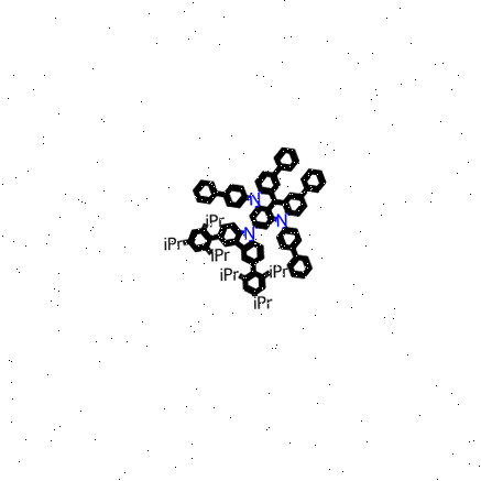 CC(C)c1cc(C(C)C)c(-c2ccc3c(c2)c2cc(-c4c(C(C)C)cc(C(C)C)cc4C(C)C)ccc2n3-c2cc3c4c(c2)N(c2ccc(-c5ccccc5)cc2)c2ccc(-c5ccccc5)cc2C4c2cc(-c4ccccc4)ccc2N3c2ccc(-c3ccccc3)cc2)c(C(C)C)c1